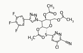 CC(=O)OCC1O[C@H](Sc2cc(Cl)c(C#N)nn2)C(OC(C)=O)C(n2cc(-c3cc(F)c(F)c(F)c3)nn2)[C@H]1OC(C)=O